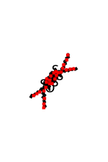 CCCCCCCCCCC(CCCCCCCC)CCn1c(=O)c2cc3sc4cc5c(=S)n(CCC(CCCCCCCC)CCCCCCCCCC)c(=S)c6ccc7c8ccc(c1=S)c2c8c3c4c7c65